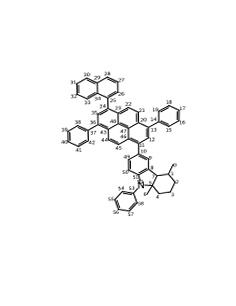 CC1CCCC2(C)C1c1cc(-c3cc(-c4ccccc4)c4ccc5c(-c6cccc7ccccc67)cc(-c6ccccc6)c6ccc3c4c65)ccc1N2c1ccccc1